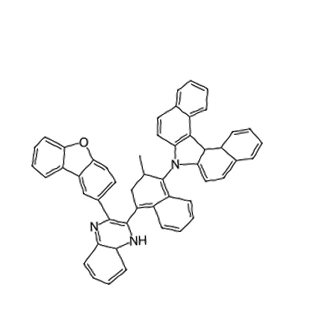 CC1CC(C2=C(c3ccc4oc5ccccc5c4c3)N=C3C=CC=CC3N2)=c2ccccc2=C1N1C2=CC=C3C=CC=CC3C2c2c1ccc1ccccc21